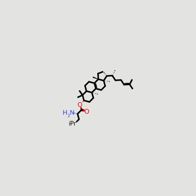 CC(C)=CCC[C@@H](C)[C@H]1CC[C@@]2(C)C3=C(CC[C@]12C)[C@@]1(C)CC[C@H](OC(=O)[C@@H](N)CC(C)C)C(C)(C)C1CC3